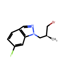 C[C@H](CBr)Cn1ncc2ccc(F)cc21